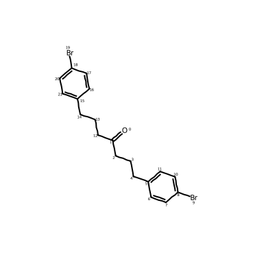 O=C(CCCc1ccc(Br)cc1)CCCc1ccc(Br)cc1